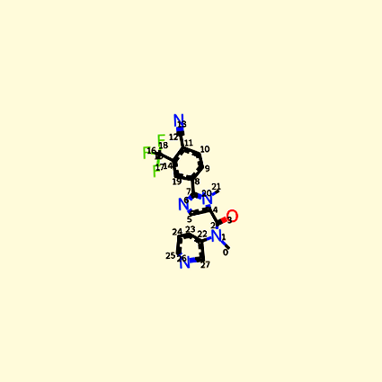 CN(C(=O)c1cnc(-c2ccc(C#N)c(C(F)(F)F)c2)n1C)c1cccnc1